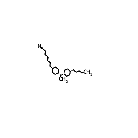 C=C([C@H]1CC[C@H](CC/C=C/C=C/C#N)CC1)[C@H]1CC[C@H](CCCCC)CC1